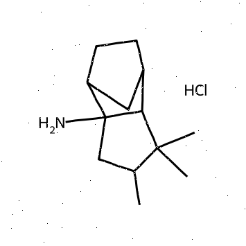 CC1CC2(N)C3CCC(C3)C2C1(C)C.Cl